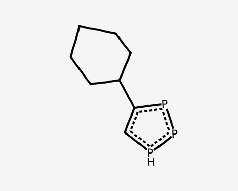 c1[pH]ppc1C1CCCCC1